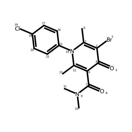 Cc1c(Br)c(=O)c(C(=O)N(C)C)c(C)n1-c1ccc(Cl)cc1